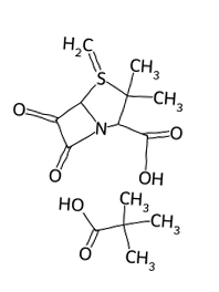 C=S1C2C(=O)C(=O)N2C(C(=O)O)C1(C)C.CC(C)(C)C(=O)O